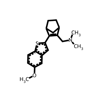 COc1ccc2sc(C3=C(CN(C)C)C4CCC3C4)cc2c1